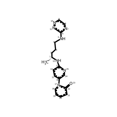 C[C@H](CCCNc1nccnn1)Nc1ccc(-n2ccccc2=O)cn1